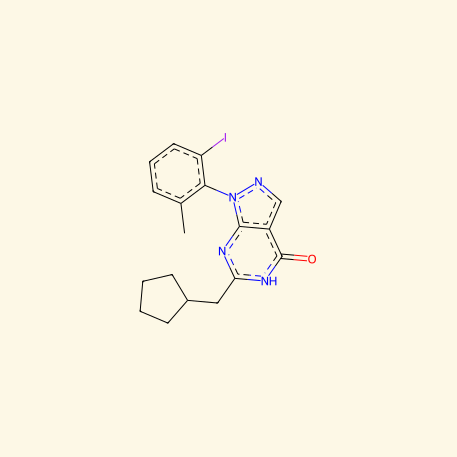 Cc1cccc(I)c1-n1ncc2c(=O)[nH]c(CC3CCCC3)nc21